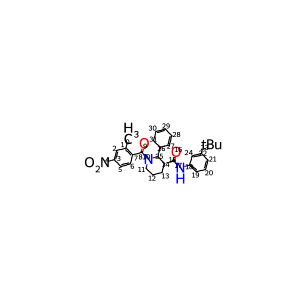 Cc1cc([N+](=O)[O-])ccc1C(=O)N1CCC[C@H](C(=O)Nc2cccc(C(C)(C)C)c2)[C@@H]1C1C=CC=CC1